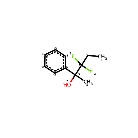 CCC(F)(F)C(C)(O)c1ccccc1